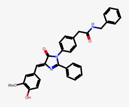 COc1cc(/C=C2\N=C(c3ccccc3)N(c3ccc(CC(=O)NCc4ccccc4)cc3)C2=O)ccc1O